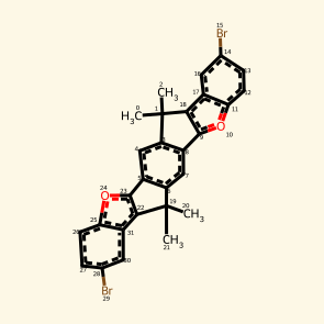 CC1(C)c2cc3c(cc2-c2oc4ccc(Br)cc4c21)C(C)(C)c1c-3oc2ccc(Br)cc12